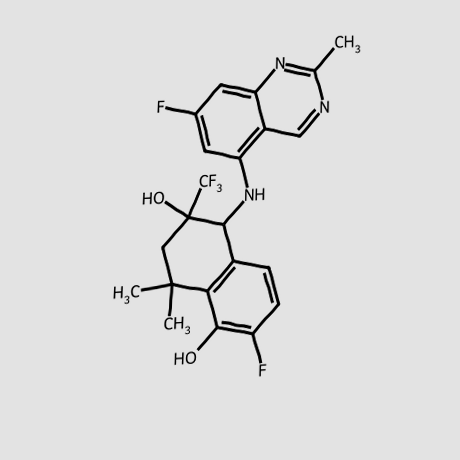 Cc1ncc2c(NC3c4ccc(F)c(O)c4C(C)(C)CC3(O)C(F)(F)F)cc(F)cc2n1